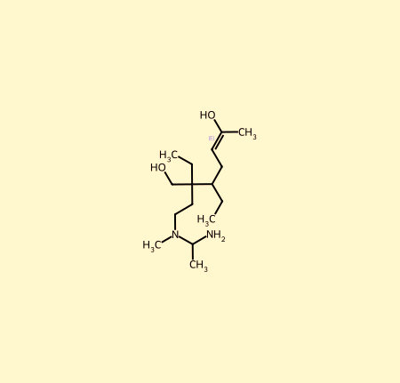 CCC(C/C=C(\C)O)C(CC)(CO)CCN(C)C(C)N